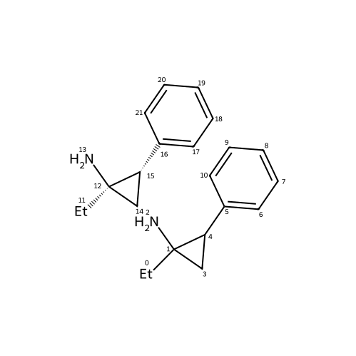 CCC1(N)CC1c1ccccc1.CC[C@@]1(N)C[C@H]1c1ccccc1